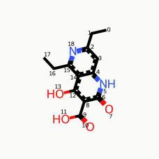 CCc1cc2[nH]c(=O)c(C(=O)O)c(O)c2c(CC)n1